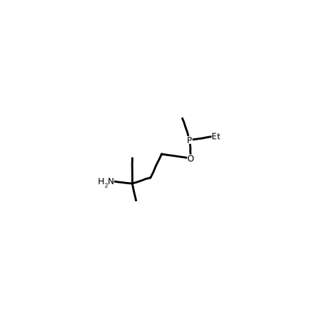 CCP(C)OCCC(C)(C)N